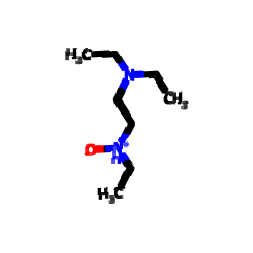 CCN(CC)CC[NH+]([O-])CC